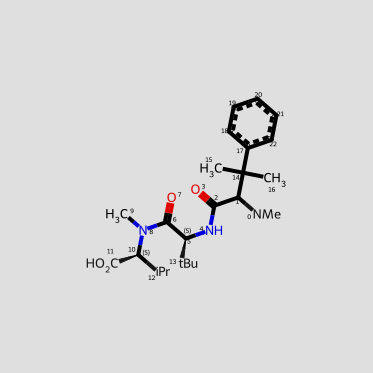 CNC(C(=O)N[C@H](C(=O)N(C)[C@H](C(=O)O)C(C)C)C(C)(C)C)C(C)(C)c1ccccc1